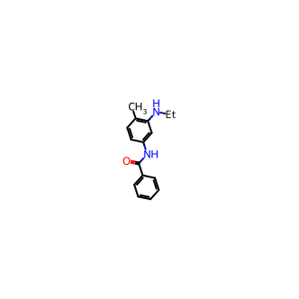 CCNc1cc(NC(=O)c2ccccc2)ccc1C